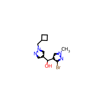 Cn1cc(C(O)c2cnn(CC3CCC3)c2)c(Br)n1